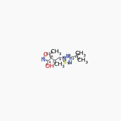 Cc1onc(O)c1C(C)C[n+]1nc(C(C)C)ns1